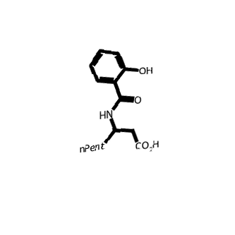 CCCCCC(CC(=O)O)NC(=O)c1ccccc1O